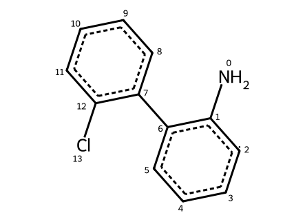 Nc1[c]cccc1-c1ccccc1Cl